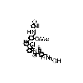 COc1cc(-c2nccc(-c3cccc(NC(=O)c4ccc(CNCCO)cc4F)c3C)c2Cl)ccc1CNC[C@@H]1CCC(=O)N1